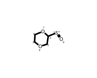 O=[S+]C1COCCO1